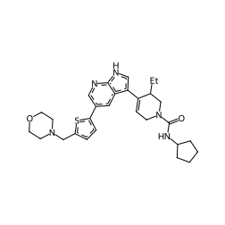 CCC1CN(C(=O)NC2CCCC2)CC=C1c1c[nH]c2ncc(-c3ccc(CN4CCOCC4)s3)cc12